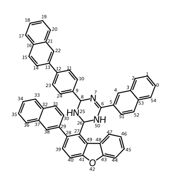 c1ccc2cc(C3=NC(c4ccc(-c5ccc6ccccc6c5)cc4)NC(c4c(-c5ccc6ccccc6c5)ccc5oc6ccccc6c45)N3)ccc2c1